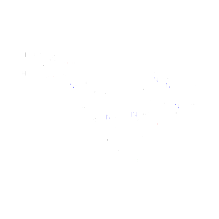 CC(C)(C)OC(=O)NCC1CCN(c2ccc(Cl)cc2NC(=O)c2cnn3cccnc23)CC1